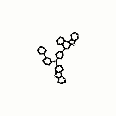 c1ccc(-c2cccc(N(c3ccc(-c4cc5oc6ccccc6c5c5ccccc45)cc3)c3ccc4c(c3)sc3ccccc34)c2)cc1